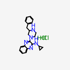 Cl.Cl.c1ccc(CC2CN(c3nc4ccccc4nc3NC3CC3)CCN2)cc1